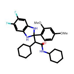 COc1ccc(C2(C(C(=O)NC3CCCCC3)C3CCCCC3)Nc3cc(F)c(F)cc3N2)c(OC)c1